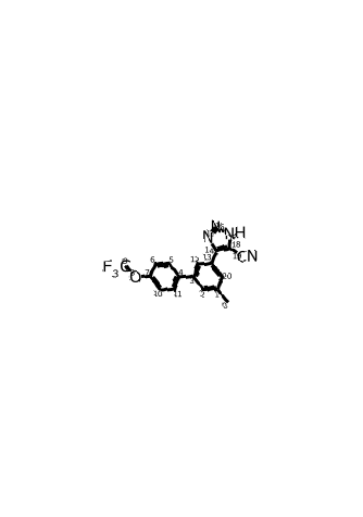 Cc1cc(-c2ccc(OC(F)(F)F)cc2)cc(-c2nn[nH]c2C#N)c1